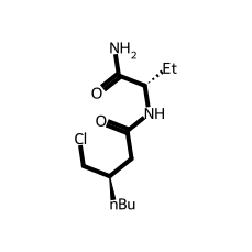 CCCC[C@@H](CCl)CC(=O)N[C@@H](CC)C(N)=O